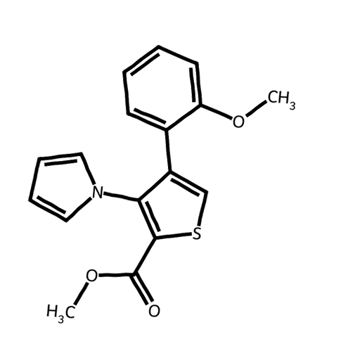 COC(=O)c1scc(-c2ccccc2OC)c1-n1cccc1